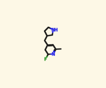 CC1=NC(F)CC(CC2CCNC2)=C1